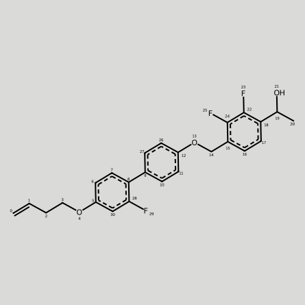 C=CCCOc1ccc(-c2ccc(OCc3ccc(C(C)O)c(F)c3F)cc2)c(F)c1